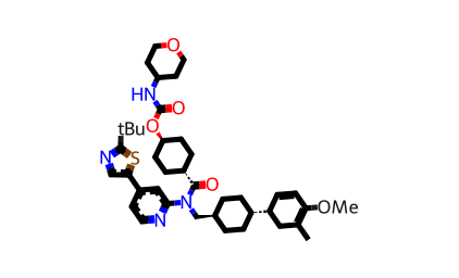 COC1=C(C)CC([C@H]2CC[C@H](CN(c3cc(-c4cnc(C(C)(C)C)s4)ccn3)C(=O)[C@H]3CC[C@H](OC(=O)NC4CCOCC4)CC3)CC2)C=C1